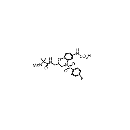 CNC(C)(C)C(=O)NCC1CN(S(=O)(=O)c2ccc(F)cc2)c2cc(NC(=O)O)ccc2O1